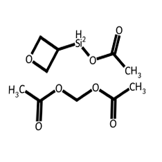 CC(=O)OCOC(C)=O.CC(=O)O[SiH2]C1COC1